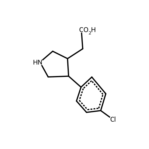 O=C(O)CC1CNCC1c1ccc(Cl)cc1